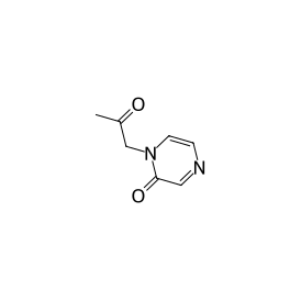 CC(=O)Cn1ccncc1=O